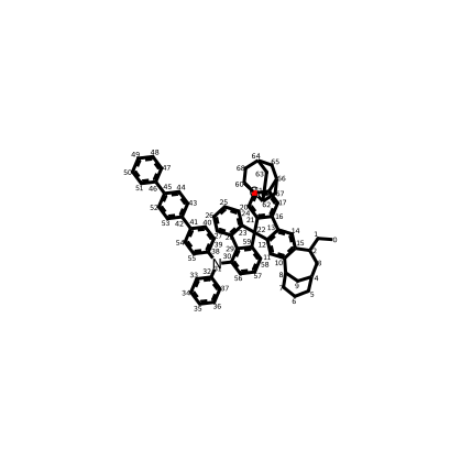 CCC1CC2CCCC(C2)c2cc3c(cc21)-c1cc2c(cc1C31c3ccccc3-c3c(N(c4ccccc4)c4ccc(-c5ccc(-c6ccccc6)cc5)cc4)cccc31)C1CC3CC(CC2C3)C1